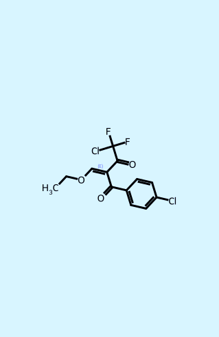 CCO/C=C(\C(=O)c1ccc(Cl)cc1)C(=O)C(F)(F)Cl